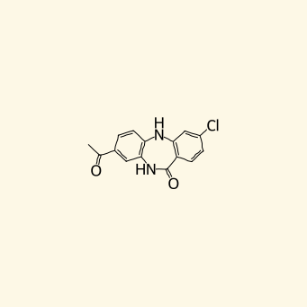 CC(=O)c1ccc2c(c1)NC(=O)c1ccc(Cl)cc1N2